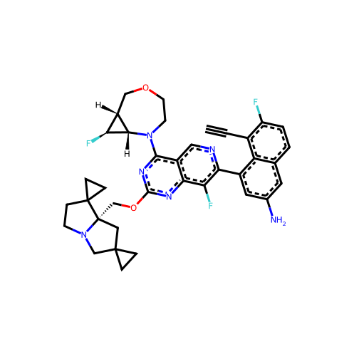 C#Cc1c(F)ccc2cc(N)cc(-c3ncc4c(N5CCOC[C@H]6[C@H](F)[C@H]65)nc(OC[C@]56CC7(CC7)CN5CCC65CC5)nc4c3F)c12